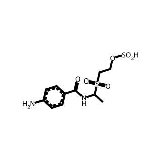 CC(NC(=O)c1ccc(N)cc1)S(=O)(=O)CCOS(=O)(=O)O